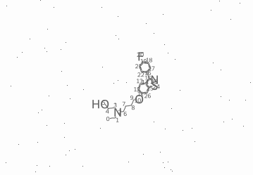 CCN(CCO)CCCCOc1ccc2c(-c3ccc(F)cc3)nsc2c1